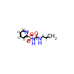 C=CCNC(=O)NS(=O)(=O)c1ccccn1